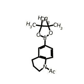 CC(=O)N1CCCc2cc(B3OC(C)(C)C(C)(C)O3)ccc21